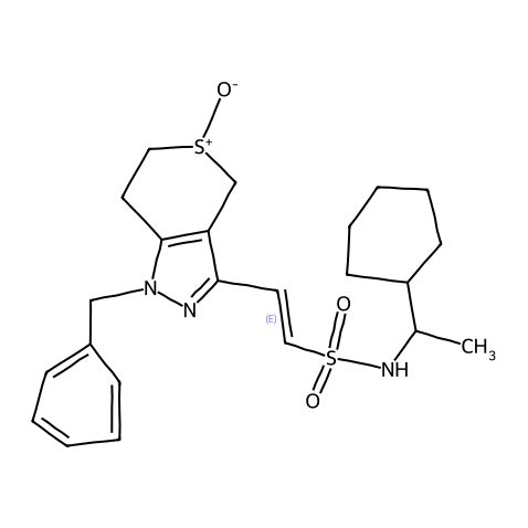 CC(NS(=O)(=O)/C=C/c1nn(Cc2ccccc2)c2c1C[S+]([O-])CC2)C1CCCCC1